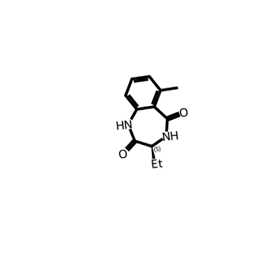 CC[C@@H]1NC(=O)c2c(C)cccc2NC1=O